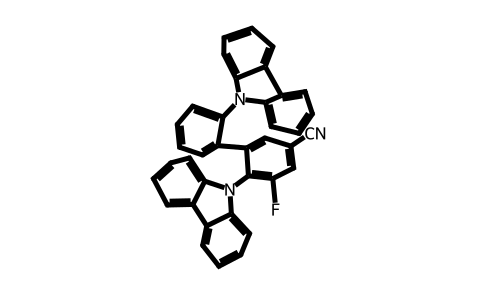 N#Cc1cc(F)c(-n2c3ccccc3c3ccccc32)c(-c2ccccc2-n2c3ccccc3c3ccccc32)c1